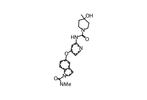 CNC(=O)n1ccc2cc(Oc3ccnc(NC(=O)N4CCC(C)(O)CC4)c3)ccc21